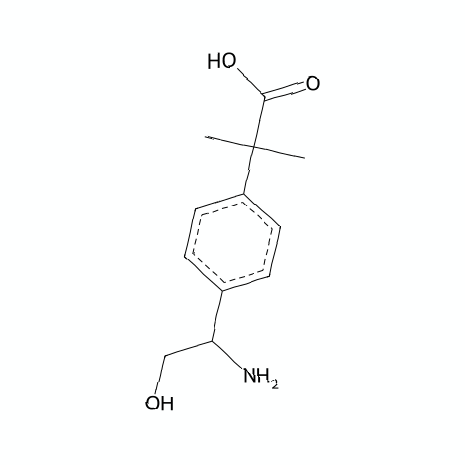 CC(C)(C(=O)O)c1ccc(C(N)CO)cc1